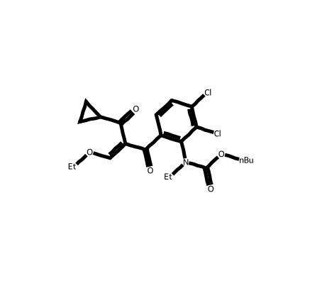 CCCCOC(=O)N(CC)c1c(C(=O)C(=COCC)C(=O)C2CC2)ccc(Cl)c1Cl